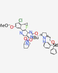 COCOc1cc(Cl)c(C2CC2)c(-c2ncc3c(N4CC5CCC(C4)N5C(=O)OC(C)(C)C)nc(OC[C@@H]4CC[C@@H](CCO[Si](c5ccccc5)(c5ccccc5)C(C)(C)C)N4)nc3c2F)c1